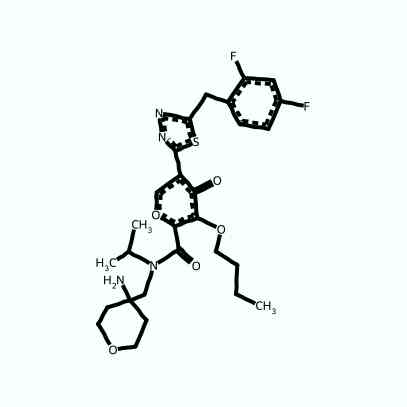 CCCCOc1c(C(=O)N(CC2(N)CCOCC2)C(C)C)occ(-c2nnc(Cc3ccc(F)cc3F)s2)c1=O